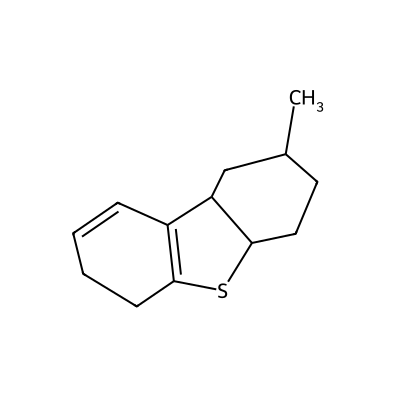 CC1CCC2SC3=C(C=CCC3)C2C1